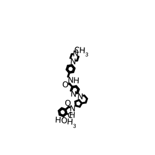 Cc1c(O)cccc1C(=O)NC1CC2CCCN(c3ccc(C(=O)NCc4ccc(N5CCN(C)CC5)cc4)cn3)C2C1